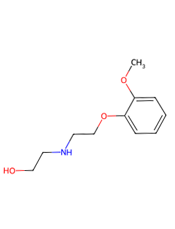 COc1ccccc1OCCNCCO